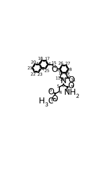 COC(=O)CCC(C(N)=O)N1Cc2c(OCc3ccc4ccccc4c3)cccc2C1=O